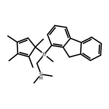 CC1=C[C](C)([Zr]([CH3])([CH2][SiH](C)C)[c]2cccc3c2Cc2ccccc2-3)C(C)=C1C